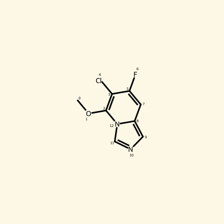 COc1c(Cl)c(F)cc2cncn12